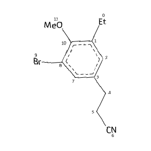 CCc1cc(CCC#N)cc(Br)c1OC